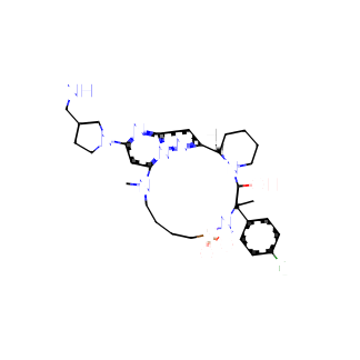 CN1CCCCS(=O)(=O)N(C)C(C)(c2ccc(Cl)cc2)C(O)N2CCCC[C@H]2c2cc3nc(N4CCC(CN)C4)cc1n3n2